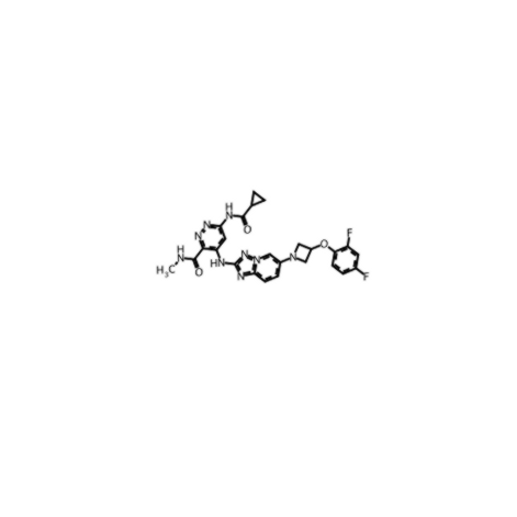 CNC(=O)c1nnc(NC(=O)C2CC2)cc1Nc1nc2ccc(N3CC(Oc4ccc(F)cc4F)C3)cn2n1